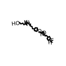 OCCCCc1cn(CCCCc2ccc(OCc3coc(/C=C/c4ccc(C(F)(F)F)cc4)n3)cc2)nn1